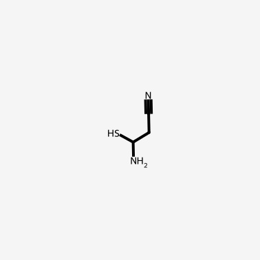 N#CCC(N)S